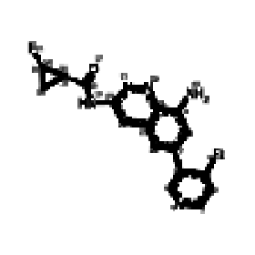 CCc1ccncc1-c1cc(N)c2nnc(NC(=O)[C@H]3C[C@H]3F)cc2c1